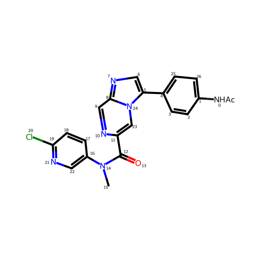 CC(=O)Nc1ccc(-c2cnc3cnc(C(=O)N(C)c4ccc(Cl)nc4)cn23)cc1